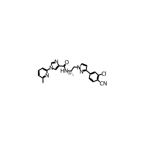 Cc1cccc(-n2cnc(C(=O)N[C@@H](C)Cn3ccc(-c4ccc(C#N)c(Cl)c4)n3)c2)n1